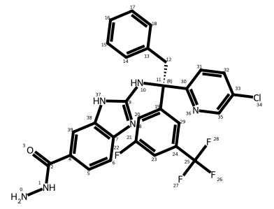 NNC(=O)c1ccc2nc(N[C@](Cc3ccccc3)(c3cc(F)cc(C(F)(F)F)c3)c3ccc(Cl)cn3)[nH]c2c1